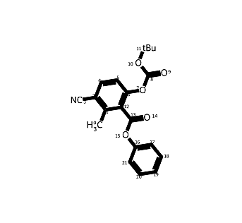 Cc1c(C#N)ccc(OC(=O)OC(C)(C)C)c1C(=O)Oc1ccccc1